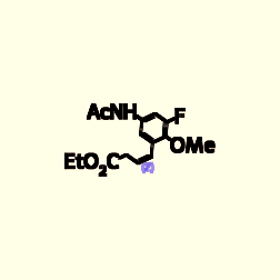 CCOC(=O)C/C=C\c1cc(NC(C)=O)cc(F)c1OC